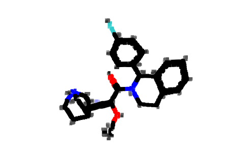 CO/C(C(=O)N1CCc2ccccc2C1c1ccc(F)cc1)=C1/CN2CCC1CC2